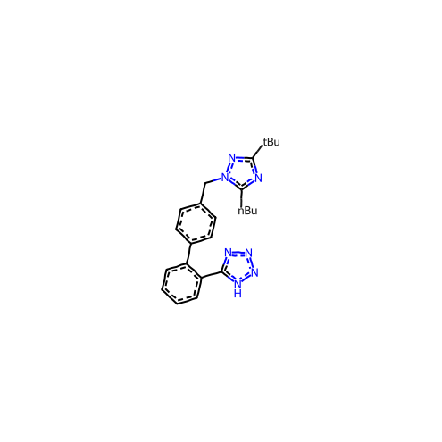 CCCCc1nc(C(C)(C)C)nn1Cc1ccc(-c2ccccc2-c2nnn[nH]2)cc1